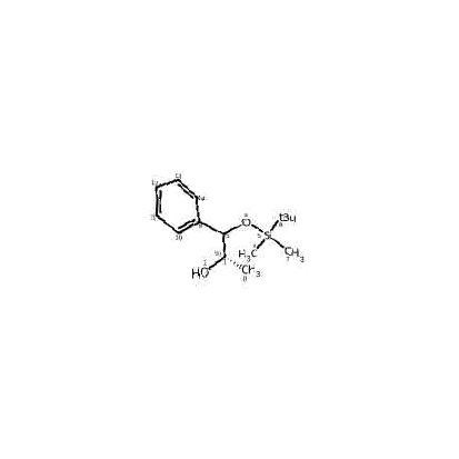 C[C@H](O)C(O[Si](C)(C)C(C)(C)C)c1ccccc1